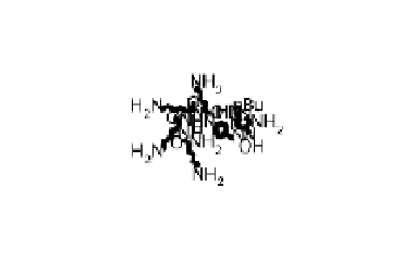 CCCCNc1nc(N)c2nc(O)n(Cc3ccc(NC(=O)C(CCCCN)NC(=O)C(CCCCN)NC(=O)C(CCCCN)NC(=O)C(N)CCCCN)cc3)c2n1